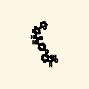 O=C(Nc1ccc(Oc2ccnc3[nH]c(=O)[nH]c23)cc1)Nc1nnc(C2CCCO2)s1